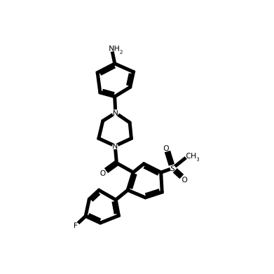 CS(=O)(=O)c1ccc(-c2ccc(F)cc2)c(C(=O)N2CCN(c3ccc(N)cc3)CC2)c1